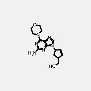 Nc1nc(N2CCOCC2)c2ncn(C3C=CC(CO)C3)c2n1